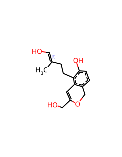 C/C(=C\O)CCc1c(O)ccc2c1C=C(CO)OC2